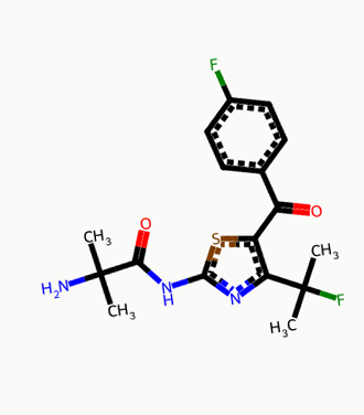 CC(C)(N)C(=O)Nc1nc(C(C)(C)F)c(C(=O)c2ccc(F)cc2)s1